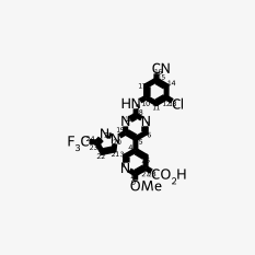 COc1ncc(-c2cnc(Nc3cc(Cl)cc(C#N)c3)nc2-n2ccc(C(F)(F)F)n2)cc1C(=O)O